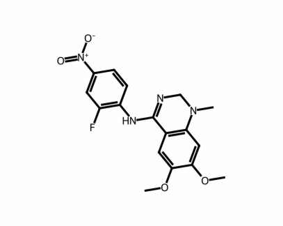 COc1cc2c(cc1OC)N(C)CN=C2Nc1ccc([N+](=O)[O-])cc1F